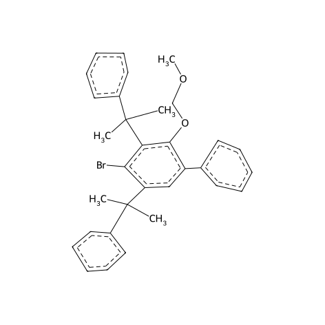 COCOc1c(-c2ccccc2)cc(C(C)(C)c2ccccc2)c(Br)c1C(C)(C)c1ccccc1